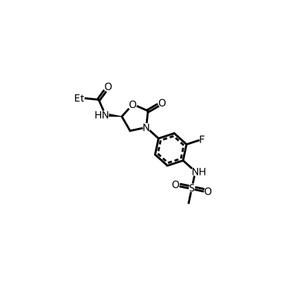 CCC(=O)N[C@@H]1CN(c2ccc(NS(C)(=O)=O)c(F)c2)C(=O)O1